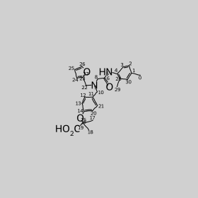 Cc1ccc(NC(=O)CN(Cc2ccc(OC(C)(C)C(=O)O)cc2)Cc2ccco2)c(C)c1